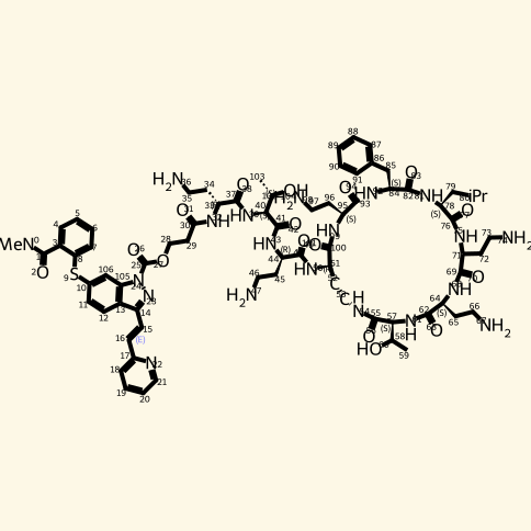 CNC(=O)c1ccccc1Sc1ccc2c(/C=C/c3ccccn3)nn(C(=O)OCCC(=O)N[C@H](CCN)C(=O)N[C@H](C(=O)N[C@H](CCN)C(=O)N[C@@H]3CCNC(=O)[C@H](C(C)O)NC(=O)[C@H](CCN)NC(=O)C(CCN)NC(=O)[C@H](CC(C)C)NC(=O)[C@H](Cc4ccccc4)NC(=O)[C@H](CCN)NC3=O)[C@H](C)O)c2c1